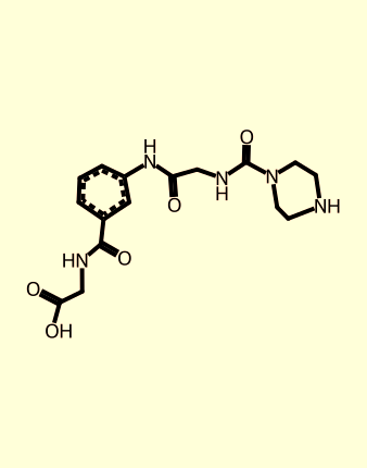 O=C(O)CNC(=O)c1cccc(NC(=O)CNC(=O)N2CCNCC2)c1